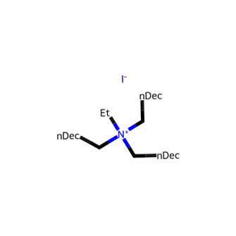 CCCCCCCCCCC[N+](CC)(CCCCCCCCCCC)CCCCCCCCCCC.[I-]